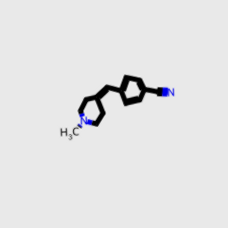 CN1CCC(=Cc2ccc(C#N)cc2)CC1